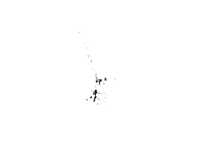 CC(=O)N[C@@H](CSc1nc2c(=O)[nH]c(N)nc2n1Cc1ccc(C)cc1)C(=O)NCCOCCOCCOCCOCCOCCCCCCCl